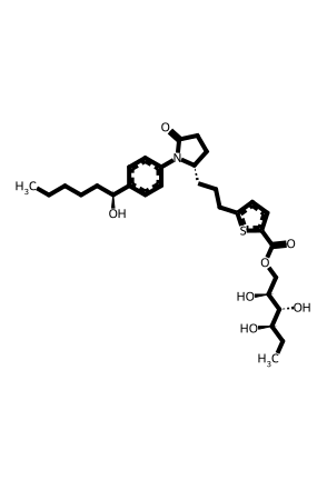 CCCCC[C@H](O)c1ccc(N2C(=O)CC[C@@H]2CCCc2ccc(C(=O)OC[C@H](O)[C@H](O)[C@H](O)CC)s2)cc1